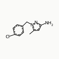 Cc1cc(N)nn1Cc1ccc(Cl)cc1